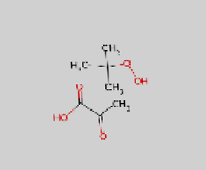 CC(=O)C(=O)O.CC(C)(C)OO